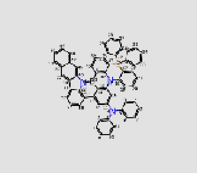 c1ccc(N(c2ccccc2)c2cc3c4c(c2)N2c5ccccc5S(c5ccccc5)(c5ccccc5)c5cccc(c52)B4n2c4cc5ccccc5cc4c4cccc-3c42)cc1